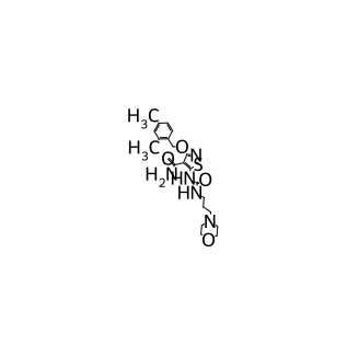 Cc1ccc(COc2nsc(NC(=O)NCCCN3CCOCC3)c2C(N)=O)c(C)c1